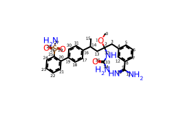 COC(Cc1cccc(C(=N)N)c1)(CC(C)c1ccc(-c2ccccc2S(N)(=O)=O)cc1)NC(N)=O